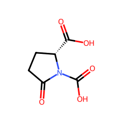 O=C(O)[C@H]1CCC(=O)N1C(=O)O